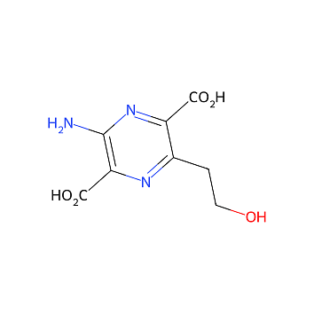 Nc1nc(C(=O)O)c(CCO)nc1C(=O)O